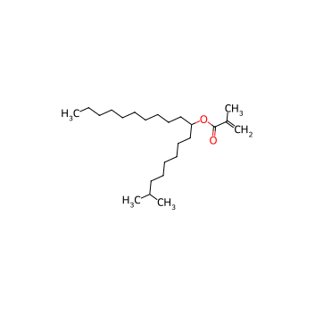 C=C(C)C(=O)OC(CCCCCCCCCC)CCCCCCC(C)C